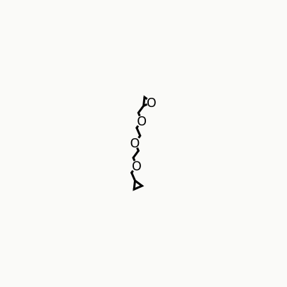 C(COCC1CC1)OCCOCC1CO1